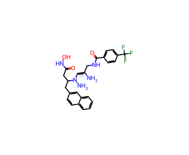 N/C(=C\N(N)C(CC(=O)NO)Cc1ccc2ccccc2c1)CNC(=O)c1ccc(C(F)(F)F)cc1